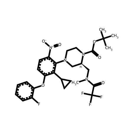 CN(C[C@H]1CN(c2c([N+](=O)[O-])ccc(Oc3ccccc3F)c2C2CC2)CCN1C(=O)OC(C)(C)C)C(=O)C(F)(F)F